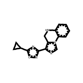 c1ccc2c(c1)NCc1c(-c3noc(C4CC4)n3)ncn1-2